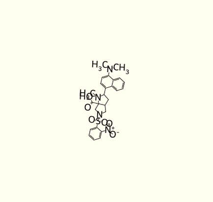 CN(C)c1ccc(C2CC3CN(S(=O)(=O)c4ccccc4[N+](=O)[O-])CC3(C(=O)O)N2C)c2ccccc12